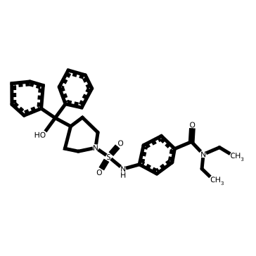 CCN(CC)C(=O)c1ccc(NS(=O)(=O)N2CCC(C(O)(c3ccccc3)c3ccccc3)CC2)cc1